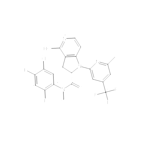 Cc1cc(C(F)(F)F)cc(N2c3ccnc(O)c3C[C@H]2C(=O)N(C)c2cc(Cl)c(F)cc2F)n1